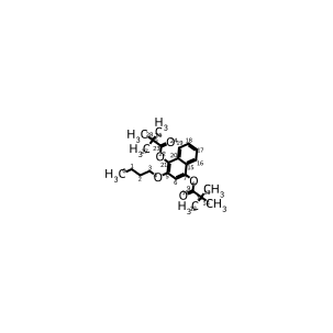 CCCCOc1cc(OC(=O)C(C)(C)C)c2ccccc2c1OC(=O)C(C)(C)C